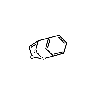 C1=C2ON(O1)c1cccc2c1